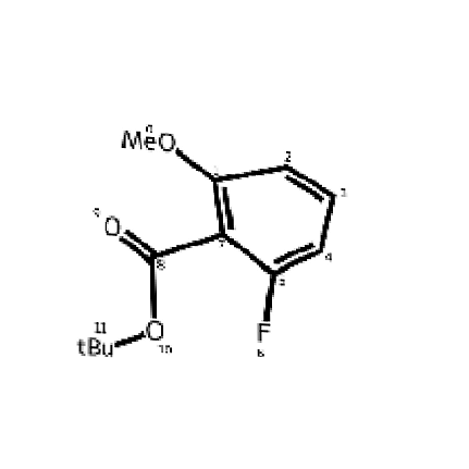 COc1cccc(F)c1C(=O)OC(C)(C)C